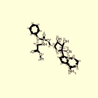 CC(C)OC(=O)[C@H](C)N[P@](=O)(OC[C@H]1O[C@@](C#N)(c2ccc3c(N)ncnn23)[C@](C)(O)[C@@H]1O)Oc1ccccc1